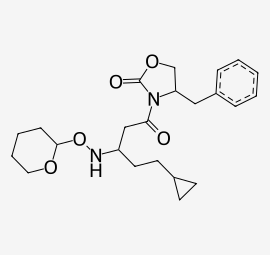 O=C(CC(CCC1CC1)NOC1CCCCO1)N1C(=O)OCC1Cc1ccccc1